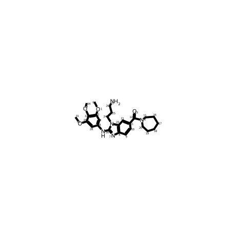 COc1cc(Nc2nc3ccc(C(=O)N4CCCCCC4)cc3n2CCCN)cc(OC)c1OC